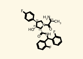 C[C@H](N)C(=O)N1C[C@H](c2ccc(F)cc2)[C@@H](O)[C@H]1C(=O)NC(c1ccccc1F)c1ccccc1F